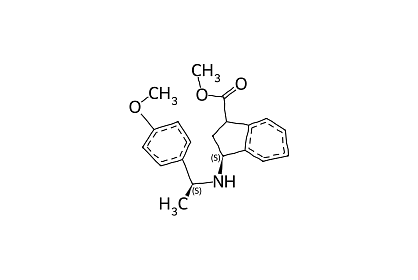 COC(=O)C1C[C@H](N[C@@H](C)c2ccc(OC)cc2)c2ccccc21